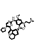 COc1cc(N(C)CCN(C)C)c([N+](=O)[O-])cc1Nc1ncc(N2CCCC2)c(-c2cn3c4c(cccc24)CCC3)n1